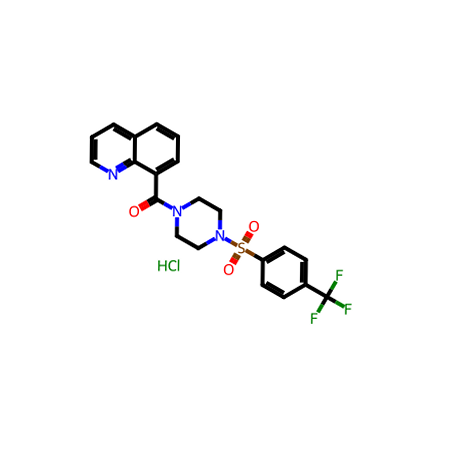 Cl.O=C(c1cccc2cccnc12)N1CCN(S(=O)(=O)c2ccc(C(F)(F)F)cc2)CC1